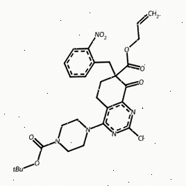 C=CCOC(=O)C1(Cc2ccccc2[N+](=O)[O-])CCc2c(nc(Cl)nc2N2CCN(C(=O)OC(C)(C)C)CC2)C1=O